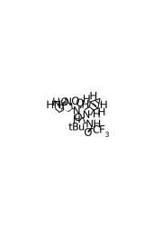 CC(C)(C)[C@H](NC(=O)C(F)(F)F)C(=O)N1C[C@@H]2[C@@H]3C=C[C@@H]([C@H]4C[C@@H]34)[C@@H]2[C@H]1C(=O)N[C@@H](C[C@@H]1CCNC1=O)C(N)=O